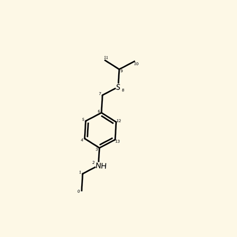 CCNc1ccc(CSC(C)C)cc1